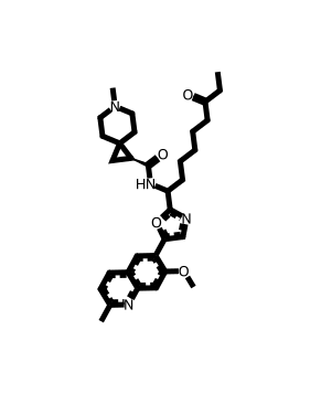 CCC(=O)CCCCCC(NC(=O)[C@H]1CC12CCN(C)CC2)c1ncc(-c2cc3ccc(C)nc3cc2OC)o1